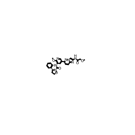 COCC(=O)Nc1cn2nc(-c3cnc(OC)c(NC(=O)N4OCC[C@H]4c4ccccc4)c3)ccc2n1